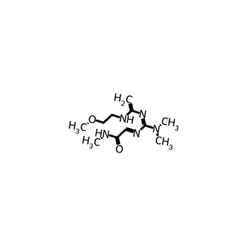 C=C(/N=C(\N=C\C(=O)NC)N(C)C)NCCOC